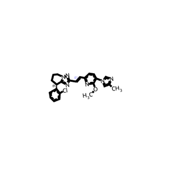 COc1nc(/C=C/c2nc3n(n2)CCC[C@@H]3c2ccccc2Cl)ccc1-n1cnc(C)c1